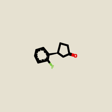 O=C1CC[C@H](c2ccccc2F)C1